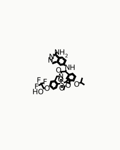 CCOc1cc(C(Nc2ccc3c(N)nncc3c2)C(=O)N(C)Cc2ccccc2S(=O)(=O)C2CC2)ccc1OC(C)C.O=C(O)C(F)(F)F